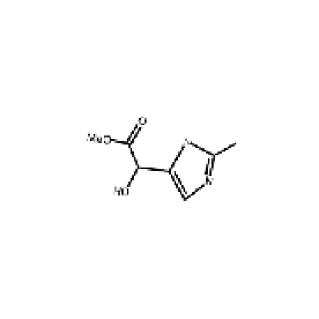 COC(=O)C(O)c1cnc(C)s1